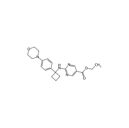 CCOC(=O)c1cnc(NC2(c3ccc(N4CCOCC4)cc3)CCC2)nc1